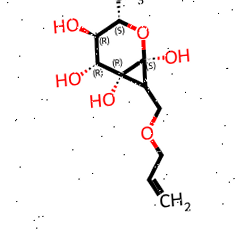 C=CCOCC1[C@]2(O)O[C@@H](C)[C@H](O)[C@@H](O)[C@]12O